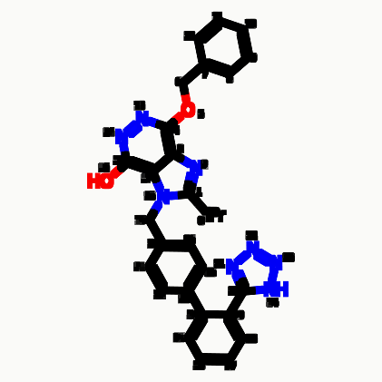 CC(C)c1nc2c(OCc3ccccc3)nnc(O)c2n1Cc1ccc(-c2ccccc2-c2nnn[nH]2)cc1